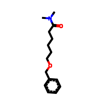 CN(C)C(=O)CCCCCOCc1ccccc1